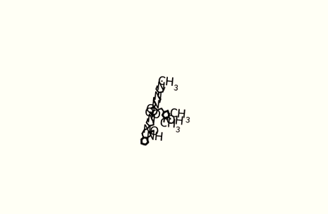 Cc1cc(CC(OC(=O)N2CCC(N3CCc4ccccc4NC3=O)CC2)C(=O)N2CCN(C3CCN(C)CC3)CC2)cc(C)c1O